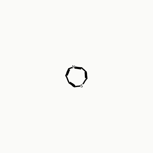 c1ccscccnc1